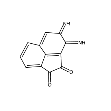 N=C1C=c2cccc3c2=C(C1=N)C(=O)C3=O